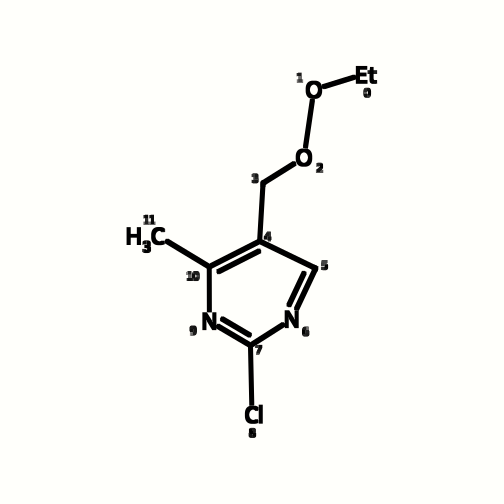 CCOOCc1cnc(Cl)nc1C